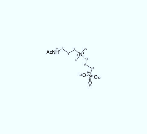 CC(=O)NCCC[N+](C)(C)CCCS(=O)(=O)[O-]